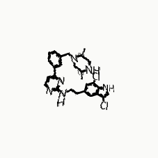 C[C@H]1CN(Cc2cccc(-c3ccnc(NCCc4cc(Cl)c5[nH]cc(Cl)c5c4)n3)c2)[C@@H](C)CN1